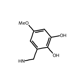 COc1cc(O)c(O)c(C[NH])c1